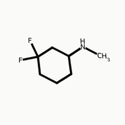 CNC1CCCC(F)(F)C1